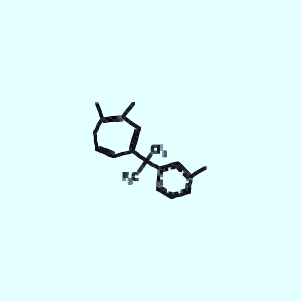 CC1=C(C)CC=CC(C(c2cccc(C)c2)(C(F)(F)F)C(F)(F)F)=C1